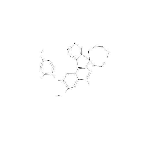 COc1ccc(Sc2cc3c4c(cc(O)c3cc2OC)C2(CCCCCCC2)c2ccccc2-4)c(C)c1